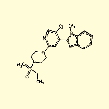 C=S(=O)(CC)N1CCN(c2cc(-c3nc4ccccc4n3C)c(Cl)cn2)CC1